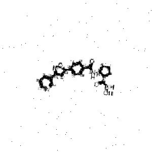 O=C(N[C@@H]1CCC[C@@H]1C(=O)NO)c1ccc(C2CC(c3cccnc3)=NO2)cc1